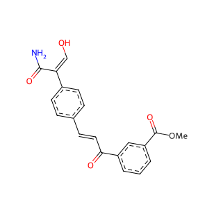 COC(=O)c1cccc(C(=O)C=Cc2ccc(C(=CO)C(N)=O)cc2)c1